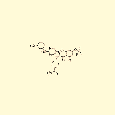 NC(=O)[C@H]1CC[C@@H](n2c(Nc3c(Cl)cc(OC(F)(F)F)cc3Cl)nc3cnc(N[C@@H]4CCC[C@@H](O)C4)nc32)CC1